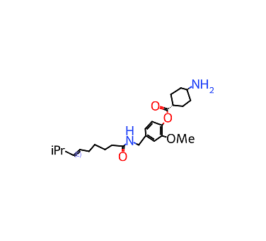 COc1cc(CNC(=O)CCCC/C=C/C(C)C)ccc1OC(=O)[C@H]1CC[C@H](N)CC1